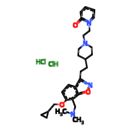 CN(C)Cc1c(OCC2CC2)ccc2c(CCC3CCN(CCn4ccccc4=O)CC3)noc12.Cl.Cl